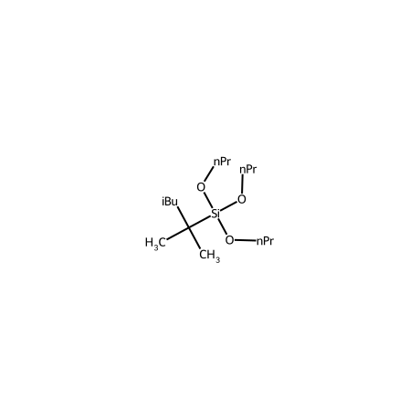 CCCO[Si](OCCC)(OCCC)C(C)(C)C(C)CC